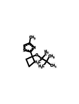 Cc1csc(C2(O[Si](C)(C)C(C)(C)C)CCC2)n1